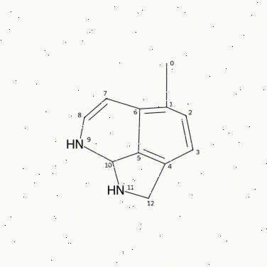 Cc1ccc2c3c1C=CNC3NC2